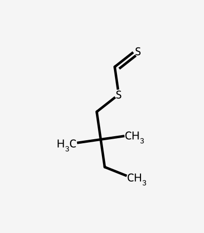 CCC(C)(C)CSC=S